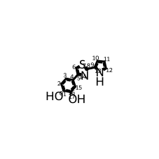 Oc1ccc(-c2csc(-c3ccc[nH]3)n2)cc1O